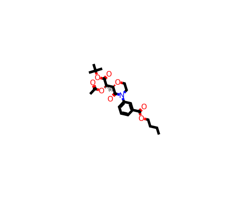 CCCCOC(=O)c1cccc(N2CCO[C@H]([C@@H](OC(C)=O)C(=O)OC(C)(C)C)C2=O)c1